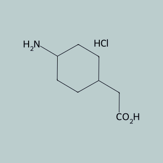 Cl.NC1CCC(CC(=O)O)CC1